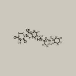 O=C1CCC(N2Cc3cc(CN[C@@H]4CCC[C@@H](Cc5ccccc5)C4)ccc3C2=O)C(=O)N1